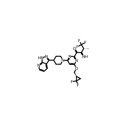 C[C@H](C(=N)C(=O)c1nc(OC[C@H]2CC2(F)F)cc(N2CCC(c3n[nH]c4ncccc34)CC2)n1)C(F)(F)F